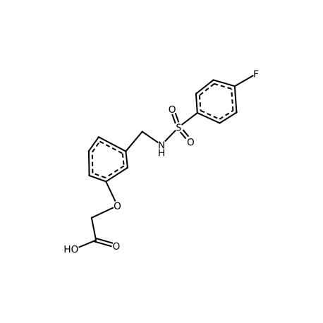 O=C(O)COc1cccc(CNS(=O)(=O)c2ccc(F)cc2)c1